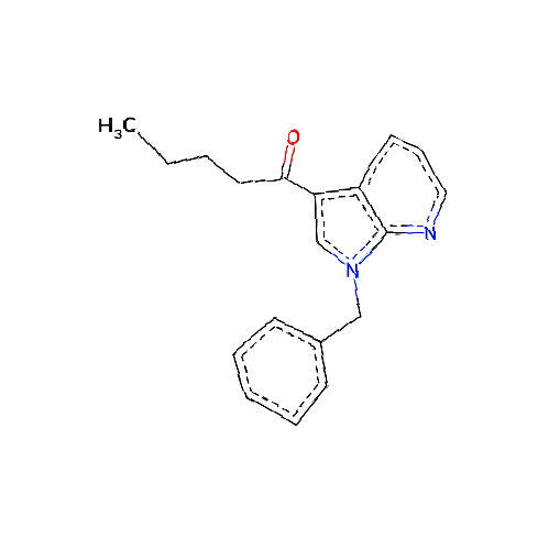 CCCCC(=O)c1cn(Cc2ccccc2)c2ncccc12